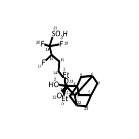 CCC(O)(CC)C12CC3CC(C1)C(C(=O)OCCC(F)C(F)(F)S(=O)(=O)O)C(C3)C2